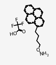 NOCCCCc1ccc2ccc3cccc4ccc1c2c34.O=C(O)C(F)(F)F